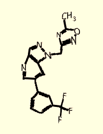 Cc1nc(Cn2ncc3ncc(-c4cccc(C(F)(F)F)c4)cc32)no1